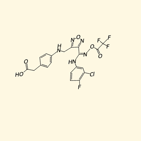 O=C(O)Cc1ccc(NCc2nonc2/C(=N\OC(=O)C(F)(F)F)Nc2ccc(F)c(Cl)c2)cc1